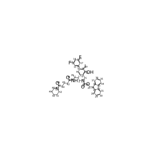 C[C@@H](CCN(Cc1ccc(-c2cc(F)cc(F)c2)c(I)c1O)C(=O)OCC1c2ccccc2-c2ccccc21)NC(=O)CCCC(=O)N1CCCCC1